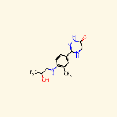 O=C1CNC(c2ccc(NCC(O)C(F)(F)F)c(C(F)(F)F)c2)=NN1